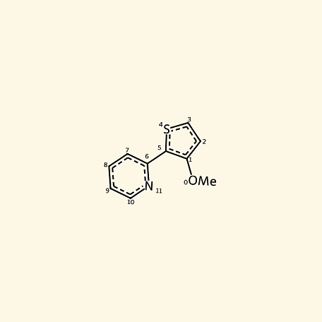 COc1ccsc1-c1ccccn1